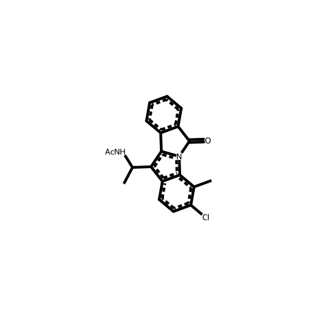 CC(=O)NC(C)c1c2n(c3c(C)c(Cl)ccc13)C(=O)c1ccccc1-2